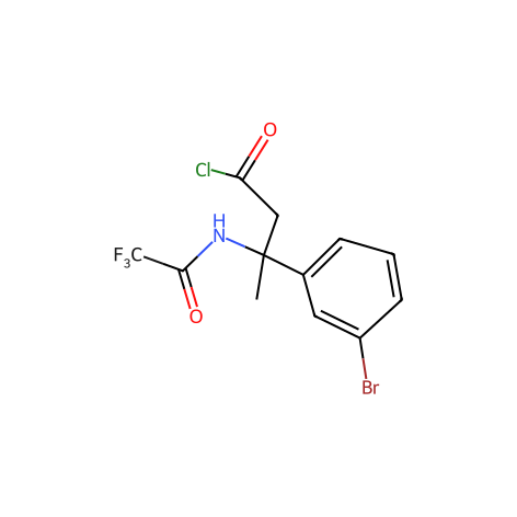 CC(CC(=O)Cl)(NC(=O)C(F)(F)F)c1cccc(Br)c1